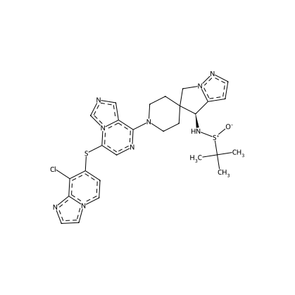 CC(C)(C)[S+]([O-])N[C@@H]1c2ccnn2CC12CCN(c1ncc(Sc3ccn4ccnc4c3Cl)n3cncc13)CC2